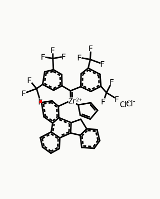 FC(F)(F)c1cc([C](c2cc(C(F)(F)F)cc(C(F)(F)F)c2)=[Zr+2]([c]2cccc3c2c2c(c4ccccc43)-c3ccccc3C2)[CH]2C=CC=C2)cc(C(F)(F)F)c1.[Cl-].[Cl-]